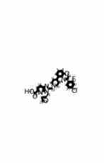 CN1c2c(cccc2C2CCN(Cc3nc4ccc(C(=O)O)nc4n3C[C@@H]3CCO3)CC2)OC[C@H]1c1ccc(Cl)cc1F